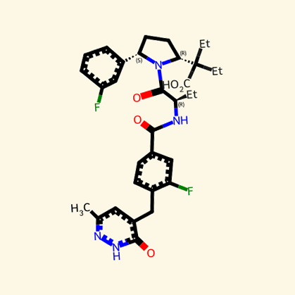 CC[C@@H](NC(=O)c1ccc(Cc2cc(C)n[nH]c2=O)c(F)c1)C(=O)N1[C@H](c2cccc(F)c2)CC[C@@H]1C(CC)(CC)C(=O)O